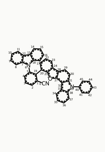 N#Cc1cccc(-n2c3ccccc3c3ccccc32)c1-c1cccc2c1oc1c2ccc2c1c1ccccc1n2-c1ccccc1